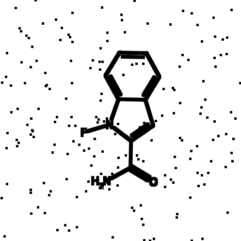 NC(=O)c1cc2ccccc2n1F